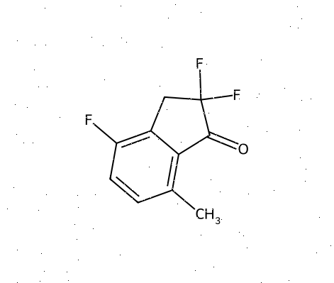 Cc1ccc(F)c2c1C(=O)C(F)(F)C2